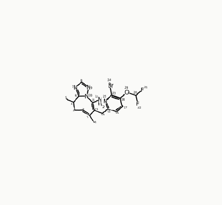 CC1=C\CC(C)c2ncnn2/C(N)=C\1Cc1ccc(OC(F)F)c(Br)n1